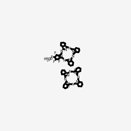 Fc1c(F)c(F)c2c3nc4nc(nc5[nH]c(nc6nc(nc([nH]3)c2c1F)-c1ccccc1-6)c1ccccc51)-c1ccccc1-4.O.O.c1ccc2c(c1)-c1nc-2nc2[nH]c(nc3nc(nc4[nH]c(n1)c1ccccc41)-c1ccccc1-3)c1ccccc21